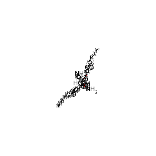 C=CCCCCCCC1CCC(C(=O)Oc2ccc(/C=C/C(=O)CC(Cc3ccc(N)cc3)(Cc3ccc(N)cc3)C(O)(O)C(=O)/C=C/c3ccc(OC(=O)C4CCC(CCCCCCC=C)CC4)cc3)cc2)CC1